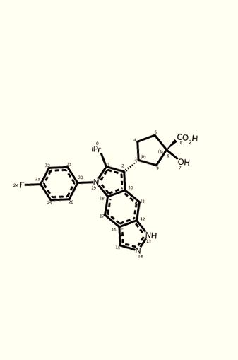 CC(C)c1c([C@@H]2CC[C@@](O)(C(=O)O)C2)c2cc3[nH]ncc3cc2n1-c1ccc(F)cc1